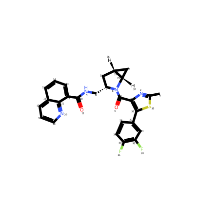 Cc1nc(C(=O)N2[C@H](CNC(=O)c3cccc4cccnc34)C[C@@H]3C[C@@H]32)c(-c2ccc(F)c(F)c2)s1